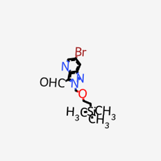 C[Si](C)(C)CCOCn1nc2cc(Br)cnc2c1C=O